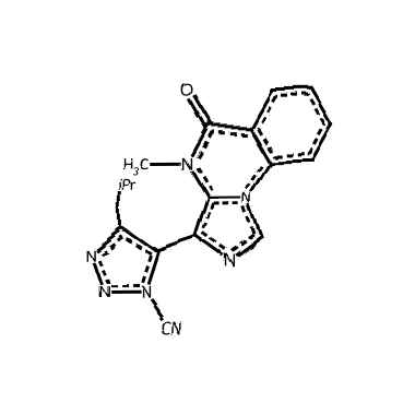 CC(C)c1nnn(C#N)c1-c1ncn2c3ccccc3c(=O)n(C)c12